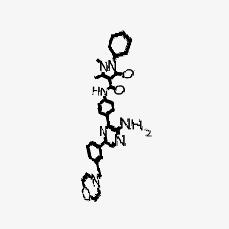 Cc1c(C(=O)Nc2ccc(-c3nc(-c4cccc(CN5CCOCC5)c4)cnc3N)cc2)c(=O)n(C2CCCCC2)n1C